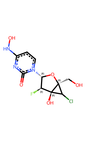 O=c1nc(NO)ccn1[C@@H]1O[C@@]2(CO)C(Cl)[C@]2(O)[C@H]1F